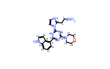 NCCc1nccn1-c1nc(-c2cccc3[nH]ccc23)nc(N2CCOCC2)n1